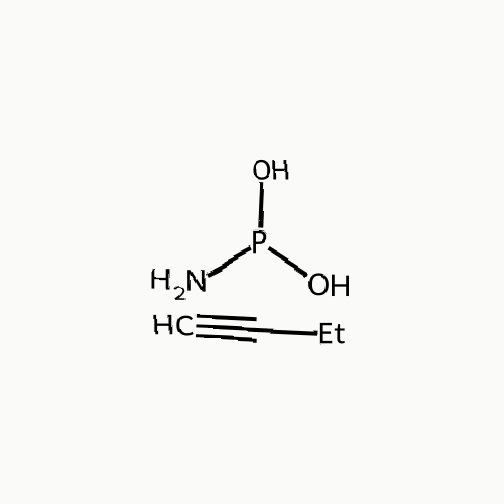 C#CCC.NP(O)O